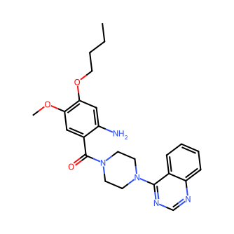 CCCCOc1cc(N)c(C(=O)N2CCN(c3ncnc4ccccc34)CC2)cc1OC